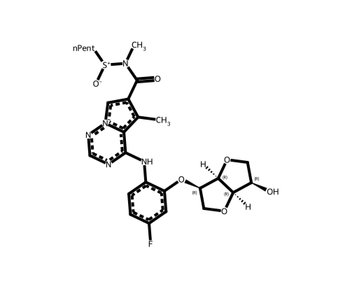 CCCCC[S+]([O-])N(C)C(=O)c1cn2ncnc(Nc3ccc(F)cc3O[C@@H]3CO[C@H]4[C@@H]3OC[C@H]4O)c2c1C